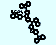 CC1(C)c2ccccc2-c2ccc(C3c4ccc(N(c5ccc6oc7cc(-n8c9ccccc9c9ccccc98)ccc7c6c5)c5cccc6ccccc56)cc4-c4ccc(-n5c6ccccc6c6ccccc65)cc43)cc21